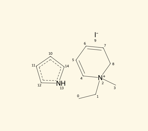 CC[N+]1(C)C=CC=CC1.[I-].c1cc[nH]c1